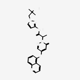 CC(C(=O)Nc1ccn(CC(C)(C)O)n1)n1ncc(Oc2cccc3ncccc23)cc1=O